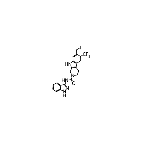 O=C(Nc1n[nH]c2ccccc12)N1CCc2c([nH]c3cc(CI)c(C(F)(F)F)cc23)C1